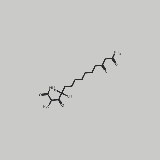 CC(C(N)=O)C(=O)C(C)(C)CCCCCCCC(=O)CC(N)=O